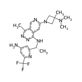 Cc1nnc(N[C@H](C)c2cc(N)cc(C(F)(F)F)n2)c2cc(N3CC(C)(N(C)C)C3)ncc12